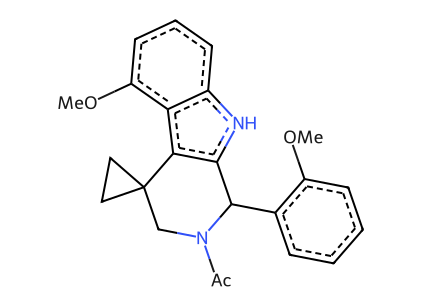 COc1ccccc1C1c2[nH]c3cccc(OC)c3c2C2(CC2)CN1C(C)=O